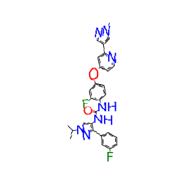 CC(C)n1cc(NC(=O)Nc2ccc(Oc3ccnc(-c4cnn(C)c4)c3)cc2F)c(-c2cccc(F)c2)n1